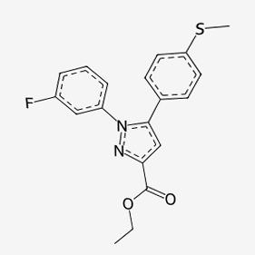 CCOC(=O)c1cc(-c2ccc(SC)cc2)n(-c2cccc(F)c2)n1